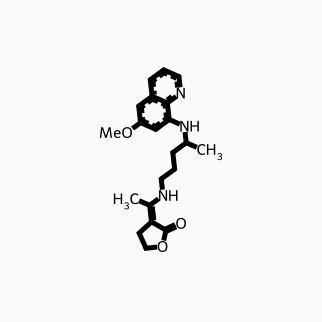 COc1cc(NC(C)CCCN/C(C)=C2/CCOC2=O)c2ncccc2c1